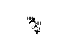 CC1NCC1NC(=O)OC(C)(C)C